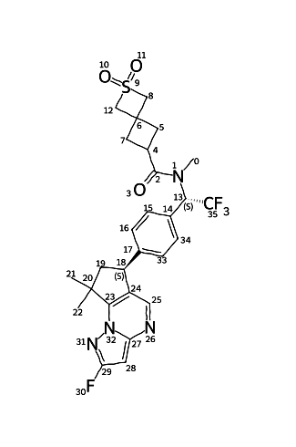 CN(C(=O)C1CC2(C1)CS(=O)(=O)C2)[C@@H](c1ccc([C@@H]2CC(C)(C)c3c2cnc2cc(F)nn32)cc1)C(F)(F)F